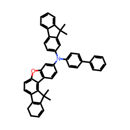 CC1(C)C2=C(CCC=C2)c2ccc3oc4cc(N(c5ccc(-c6ccccc6)cc5)c5ccc6c(c5)C(C)(C)c5ccccc5-6)ccc4c3c21